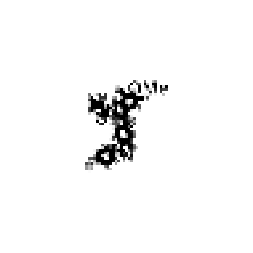 COc1c(C)cc2c(c1C)CN(C(=O)C1(C)CC1)[C@@H](C)[C@@H]2Oc1ccc2c(cnn2-c2ccc(F)cc2)c1